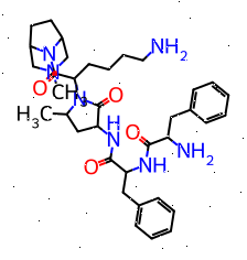 CC1CC(NC(=O)C(Cc2ccccc2)NC(=O)C(N)Cc2ccccc2)C(=O)N1C(CCCCN)C(=O)N1C2CCC1CN(C)C2